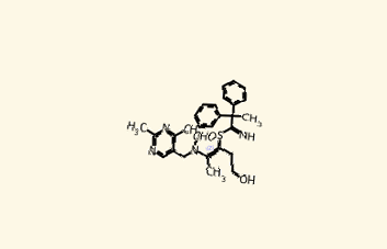 C/C(=C(\CCO)SC(=N)C(C)(c1ccccc1)c1ccccc1)N(C=O)Cc1cnc(C)nc1C